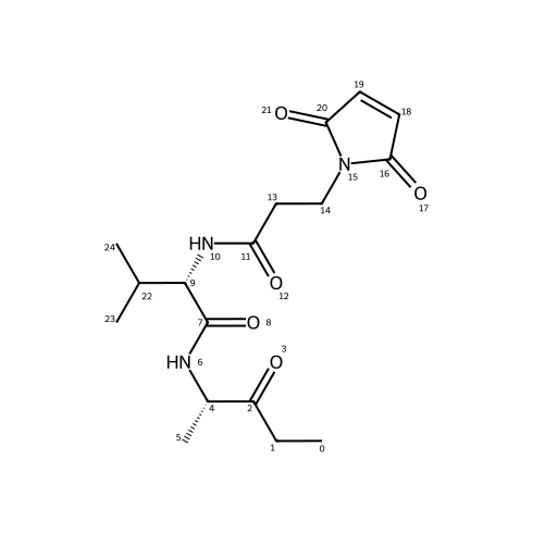 CCC(=O)[C@H](C)NC(=O)[C@@H](NC(=O)CCN1C(=O)C=CC1=O)C(C)C